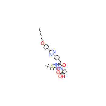 CCCCCCCOc1ccc(-c2cnc(-c3ccc(C[C@H](NC(=O)c4ccc(C(C)(C)C)s4)C(=O)N[C@H]4CCC[C@H]4C(=O)O)cc3)nc2)cc1